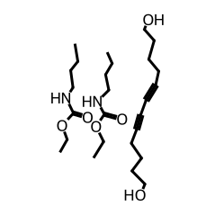 CCCCNC(=O)OCC.CCCCNC(=O)OCC.OCCCCC#CC#CCCCCO